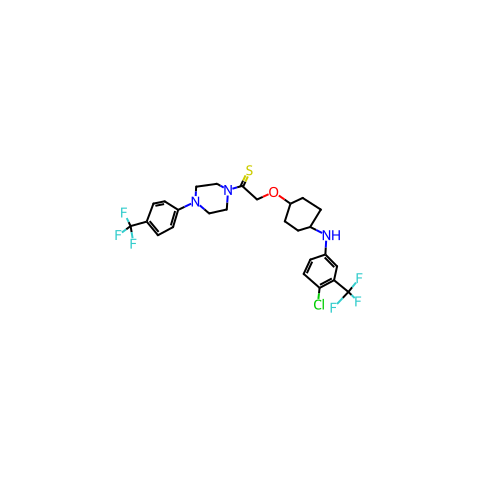 FC(F)(F)c1ccc(N2CCN(C(=S)COC3CCC(Nc4ccc(Cl)c(C(F)(F)F)c4)CC3)CC2)cc1